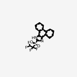 O=S(=O)(c1nc2c3ccccc3c3ccccc3c2[nH]1)C(F)(F)C(F)F